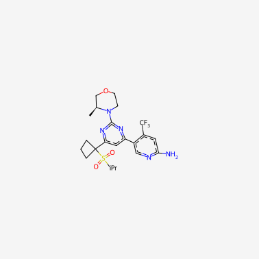 CC(C)S(=O)(=O)C1(c2cc(-c3cnc(N)cc3C(F)(F)F)nc(N3CCOC[C@@H]3C)n2)CCC1